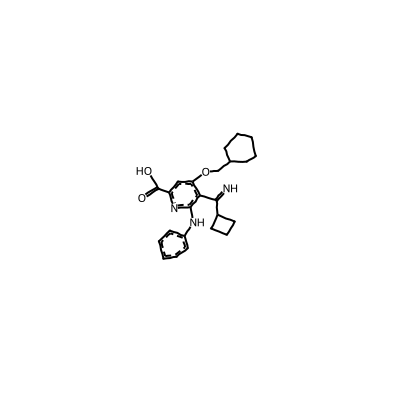 N=C(c1c(OCC2CCCCC2)cc(C(=O)O)nc1Nc1ccccc1)C1CCC1